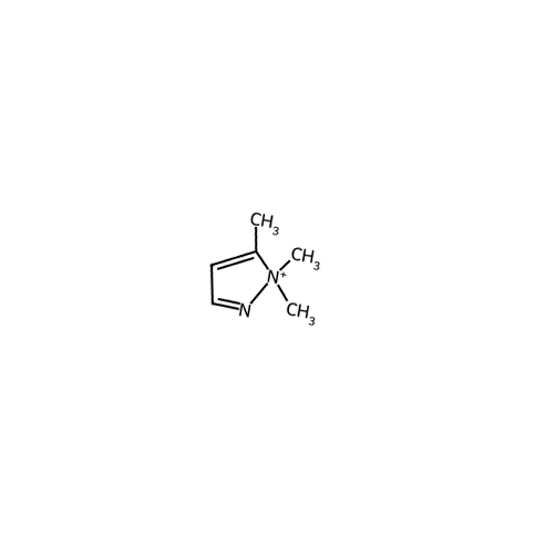 CC1=CC=N[N+]1(C)C